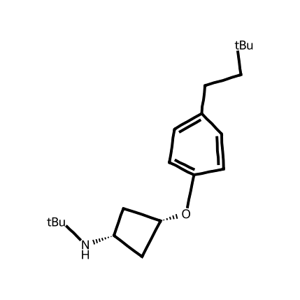 CC(C)(C)CCc1ccc(O[C@H]2C[C@@H](NC(C)(C)C)C2)cc1